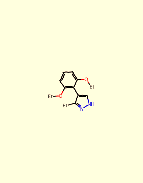 CCOc1c[c]cc(OCC)c1-c1c[nH]nc1CC